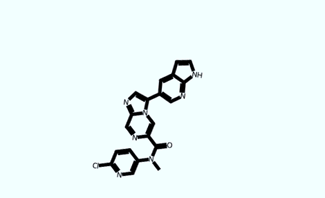 CN(C(=O)c1cn2c(-c3cnc4[nH]ccc4c3)cnc2cn1)c1ccc(Cl)nc1